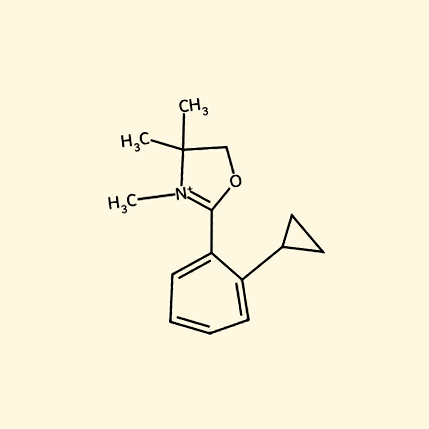 C[N+]1=C(c2ccccc2C2CC2)OCC1(C)C